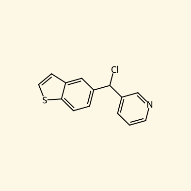 ClC(c1cccnc1)c1ccc2sccc2c1